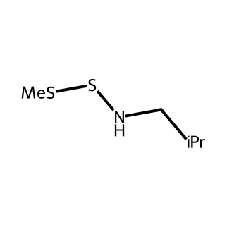 CSSNCC(C)C